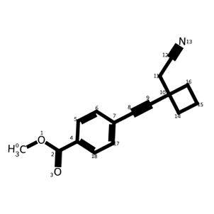 COC(=O)c1ccc(C#CC2(CC#N)CCC2)cc1